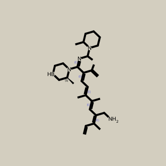 C=C\C(C)=C(/C=C(C)/C(C)=C/C=C(C(=C)C)/C(=N\C(C)N1CCCCC1C)N1CCBC[C@@H]1C)CN